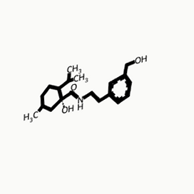 CC1CCC(C(C)C)[C@@](O)(C(=O)NCCc2cccc(CO)c2)C1